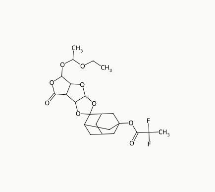 CCOC(C)OC1OC(=O)C2C1OC1OC3(OC12)C1CC2CC3CC(OC(=O)C(C)(F)F)(C2)C1